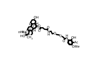 CCCCCC[C@](C)(O)[C@H]1CC[C@H]2[C@@H]3C[C@H](OC(=O)CCC(=O)NCCOCCOCC(=O)Nc4ccc(OC)c(C(C)=O)c4O)[C@H]4C[C@@H](O)CC[C@]4(C)[C@H]3CC[C@@]21C